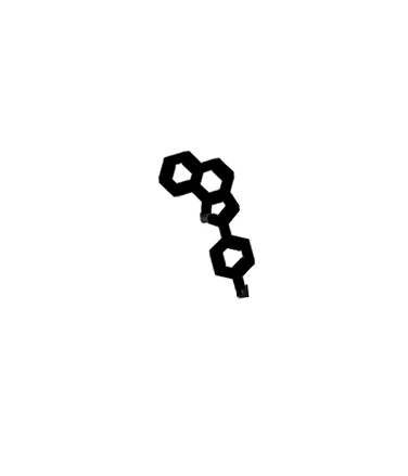 Clc1ccc(-c2cc3ccc4ccccc4c3o2)cc1